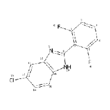 Fc1cccc(F)c1-c1nc2cc(Cl)ccc2[nH]1